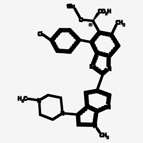 Cc1cc2nc(-c3cnc4c(c3)c(N3CCN(C)CC3)cn4C)sc2c(-c2ccc(Cl)cc2)c1[C@H](OC(C)(C)C)C(=O)O